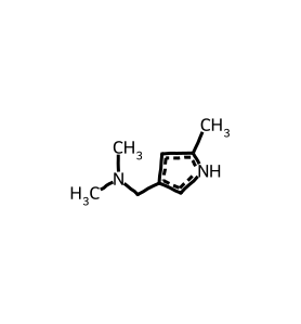 Cc1cc(CN(C)C)c[nH]1